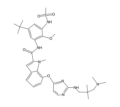 COc1c(NC(=O)c2cc3cccc(Oc4ccnc(NCC(C)(C)CN(C)C)n4)c3n2C)cc(C(C)(C)C)cc1NS(C)(=O)=O